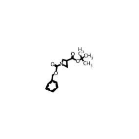 CC(C)(C)OC(=O)C1CN(C(=O)OCc2ccccc2)C1